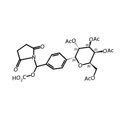 CC(=O)OC[C@H]1O[C@H](c2ccc(C(OC(=O)O)N3C(=O)CCC3=O)cc2)[C@H](OC(C)=O)[C@@H](OC(C)=O)[C@H]1OC(C)=O